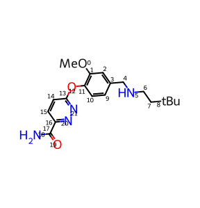 COc1cc(CNCCC(C)(C)C)ccc1Oc1ccc(C(N)=O)nn1